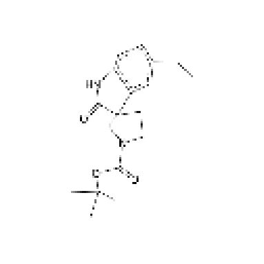 CCc1ccc2c(c1)C1(CCN(C(=O)OC(C)(C)C)C1)C(=O)N2